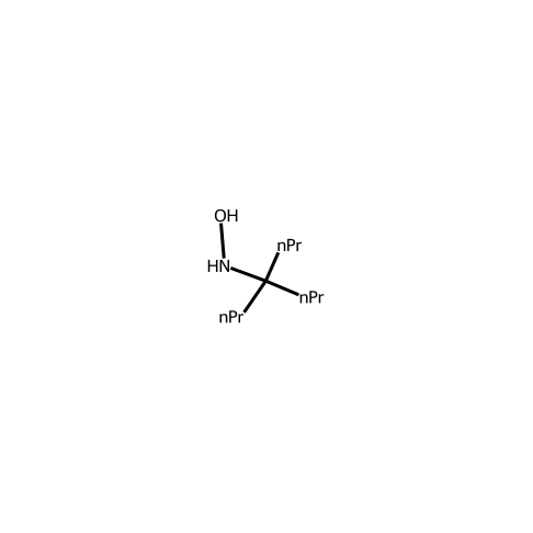 CCCC(CCC)(CCC)NO